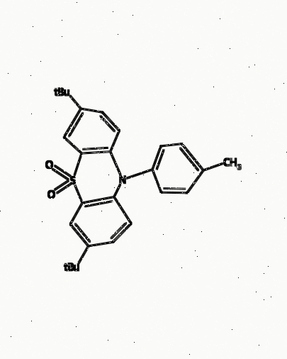 Cc1ccc(N2c3ccc(C(C)(C)C)cc3S(=O)(=O)c3cc(C(C)(C)C)ccc32)cc1